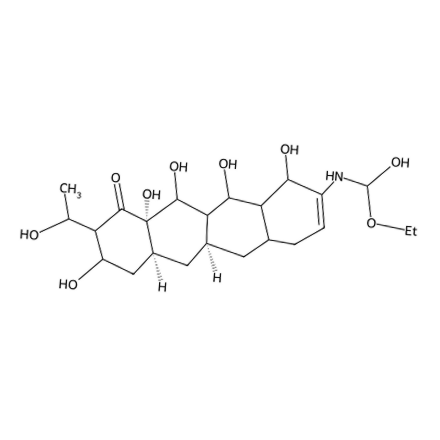 CCOC(O)NC1=CCC2C[C@H]3C[C@H]4CC(O)C(C(C)O)C(=O)[C@@]4(O)C(O)C3C(O)C2C1O